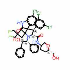 O=C(NC1CC[C@@H](CO)OC1)[C@H]1[C@H](c2cc(Cl)cc(Cl)c2)C2(C(=O)Nc3cc(Cl)ccc32)C2(CC(CF)(CF)C2)N1[C@H](c1ccccc1)[C@@H](O)c1ccccc1